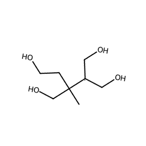 CC(CO)(CCO)[C](CO)CO